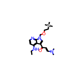 CCNc1ccnc2c1c(C(=O)/C=C/N(C)C)cn2COCC[Si](C)(C)C